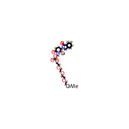 COCCOCCOCCOCCOC(=O)OCN1C(=O)CCC(N2Cc3ccccc3C2=O)C1=O